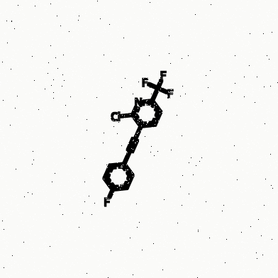 Fc1ccc(C#Cc2ccc(C(F)(F)F)nc2Cl)cc1